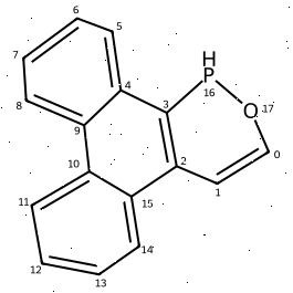 C1=Cc2c(c3ccccc3c3ccccc23)PO1